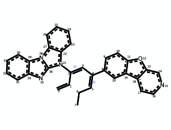 C=C/C(=C\C(=C/CC)c1ccc2oc3cnccc3c2c1)n1c2ccccc2n2c3ccccc3nc12